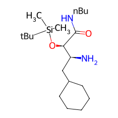 CCCCNC(=O)[C@H](O[Si](C)(C)C(C)(C)C)[C@@H](N)CC1CCCCC1